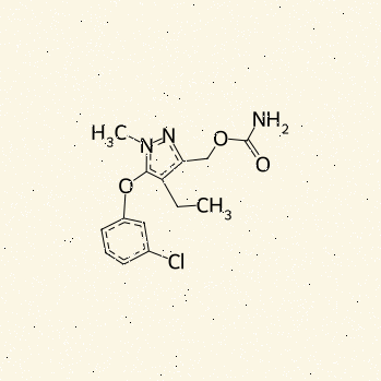 CCc1c(COC(N)=O)nn(C)c1Oc1cccc(Cl)c1